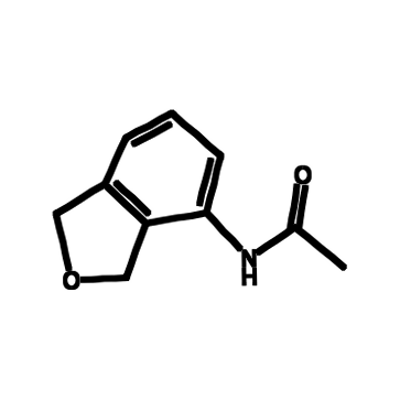 CC(=O)Nc1cccc2c1COC2